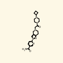 NC(=O)c1ccc(-n2cc3c(n2)CCN(CC(=O)N2CCN(C4CCC4)CC2)C3)nc1